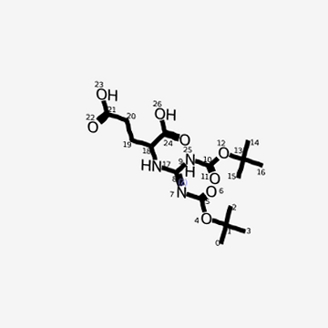 CC(C)(C)OC(=O)/N=C(\NC(=O)OC(C)(C)C)NC(CCC(=O)O)C(=O)O